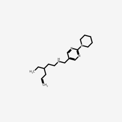 C=CCC(CC)CCNCc1cnc(N2CCCCC2)nc1